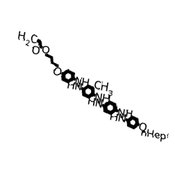 C=CC(=O)OCCCCOc1ccc(NNc2ccc(NNc3ccc(NNc4ccc(OCCCCCCC)cc4)cc3)c(C)c2)cc1